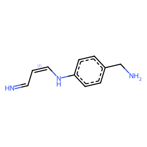 N=C/C=C\Nc1ccc(CN)cc1